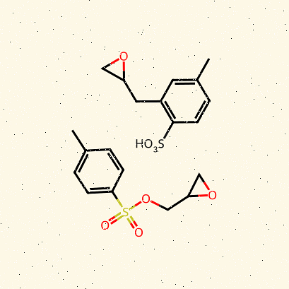 Cc1ccc(S(=O)(=O)O)c(CC2CO2)c1.Cc1ccc(S(=O)(=O)OCC2CO2)cc1